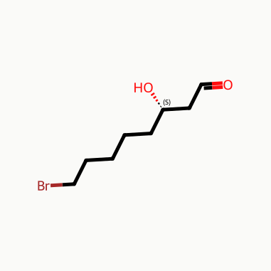 O=CC[C@@H](O)CCCCCBr